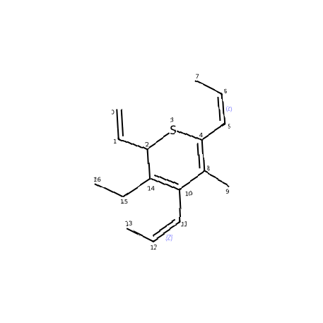 C=CC1SC(/C=C\C)=C(C)C(/C=C\C)=C1CC